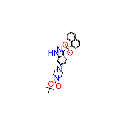 CC(C)(C)OC(=O)N1CCN(c2ccc3c(S(=O)(=O)c4cccc5ccccc45)n[nH]c3c2)CC1